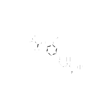 C[C@H](CCc1ccc(OC(=O)N(C)C)c(OC(F)(F)F)c1)N[S@+]([O-])C(C)(C)C